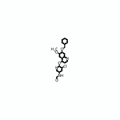 COc1cc2c(Oc3ncc(NC=O)cc3Cl)ccnc2cc1OCc1ccccc1